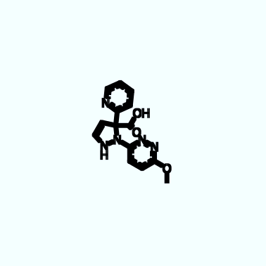 COc1ccc(N2NC=CC2(C(=O)O)c2ccccn2)nn1